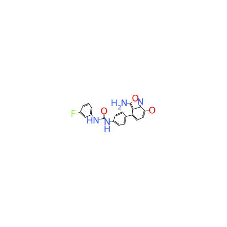 COc1ccc(-c2ccc(NC(=O)Nc3cccc(F)c3)cc2)c2c(N)onc12